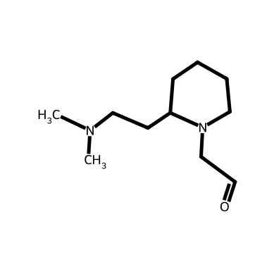 CN(C)CCC1CCCCN1CC=O